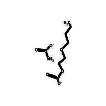 CCCCOCCO[N+](=O)[O-].N[N+](=O)[O-]